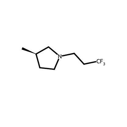 C[C@@H]1CCN(CCC(F)(F)F)C1